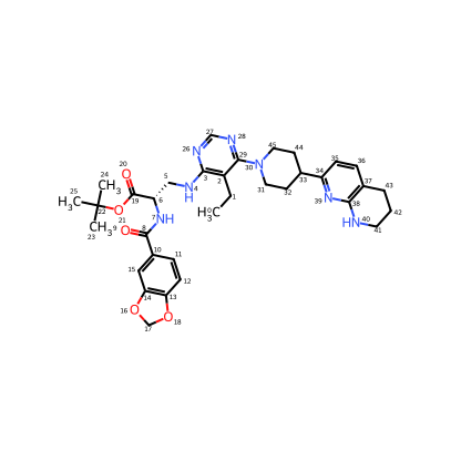 CCc1c(NC[C@H](NC(=O)c2ccc3c(c2)OCO3)C(=O)OC(C)(C)C)ncnc1N1CCC(c2ccc3c(n2)NCCC3)CC1